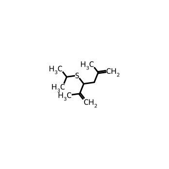 C=C(C)CC(SC(C)C)C(=C)C